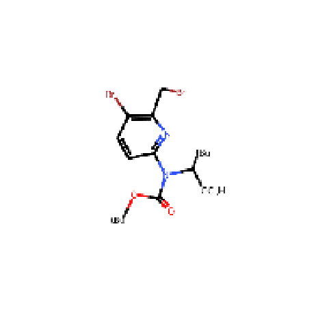 CC(C)(C)OC(=O)N(c1ccc(Br)c(CBr)n1)C(C(=O)O)C(C)(C)C